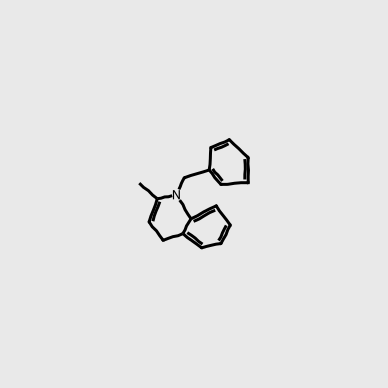 CC1=CCc2ccccc2N1Cc1ccccc1